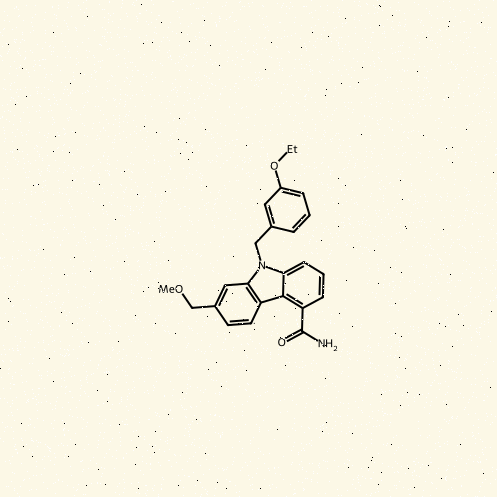 CCOc1cccc(Cn2c3cc(COC)c[c]c3c3c(C(N)=O)cccc32)c1